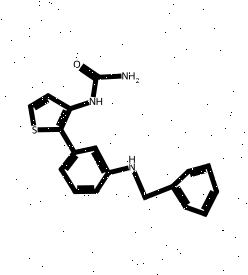 NC(=O)Nc1ccsc1-c1cc[c]c(NCc2ccccc2)c1